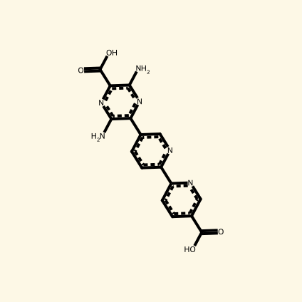 Nc1nc(-c2ccc(-c3ccc(C(=O)O)cn3)nc2)c(N)nc1C(=O)O